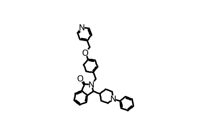 O=C1c2ccccc2C(C2CCN(c3ccccc3)CC2)N1CC1=CC=C(OCc2ccncc2)CC1